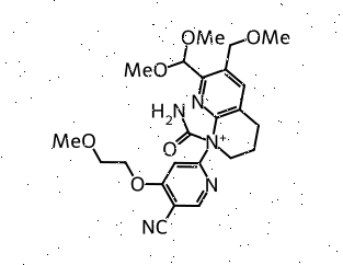 COCCOc1cc([N+]2(C(N)=O)CCCc3cc(COC)c(C(OC)OC)nc32)ncc1C#N